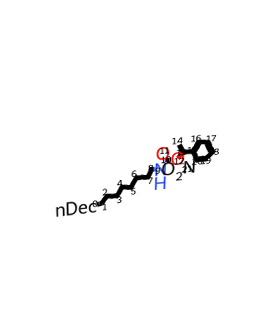 CCCCCCCCCCCCCCCCCCNC(=O)OC(C)c1ccccc1[N+](=O)[O-]